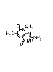 Cc1nc2c(=O)[nH]c(N)nc2n(C)c1=O